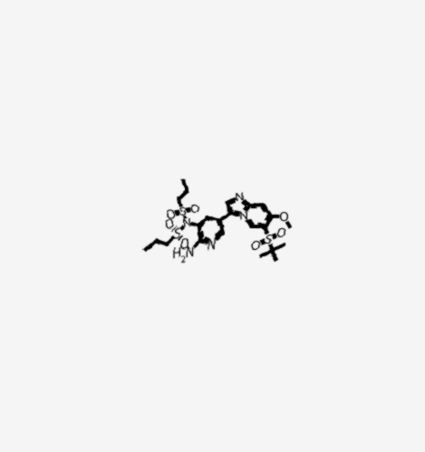 CCCS(=O)(=O)N(c1cc(-c2cnc3cc(OC)c(S(=O)(=O)C(C)(C)C)cn23)cnc1N)S(=O)(=O)CCC